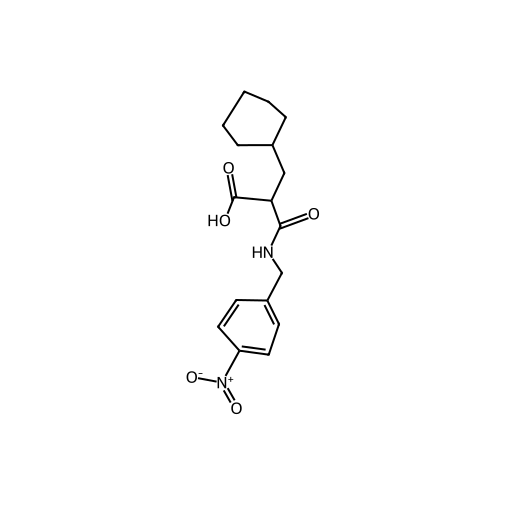 O=C(O)C(CC1CCCCC1)C(=O)NCc1ccc([N+](=O)[O-])cc1